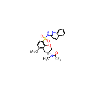 COc1ccc(S(=O)(=O)Nc2ccc3ccccc3n2)c2c1C[C@@H](N(C)C(=O)C(F)(F)F)CO2